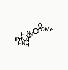 COC(=O)C1CCC(n2cc(NC(=N)NC(C)C)cn2)CC1